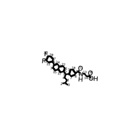 CC(C)CCC(c1ccc(C(=O)NCCC(=O)O)cc1)c1ccc2cc(-c3ccc(F)c(F)c3)ccc2c1